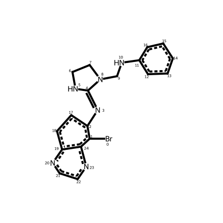 Brc1c(/N=C2\NCCN2CNc2ccccc2)ccc2nccnc12